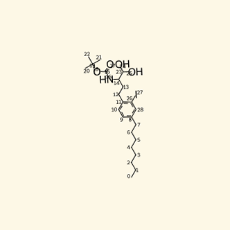 CCCCCCCCc1ccc(CCC(NC(=O)OC(C)(C)C)C(O)O)c(I)c1